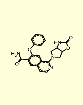 NC(=O)c1cc2ccnc(N3CC4NC(=O)OC4C3)c2cc1Oc1ccccc1